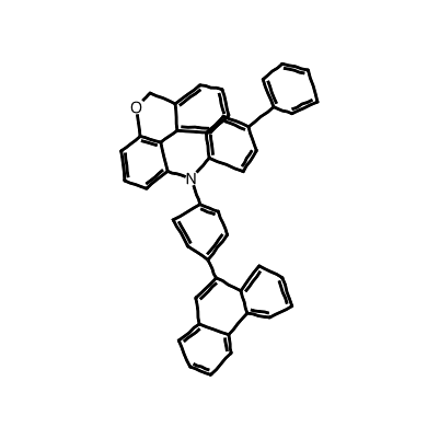 c1ccc(-c2ccc(N(c3ccc(-c4cc5ccccc5c5ccccc45)cc3)c3cccc4c3-c3ccccc3CO4)cc2)cc1